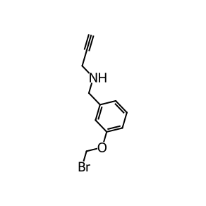 C#CCNCc1cccc(OCBr)c1